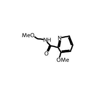 COCNC(=O)c1ncccc1OC